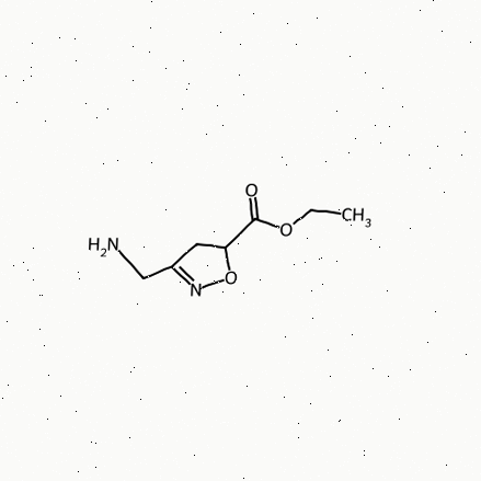 CCOC(=O)C1CC(CN)=NO1